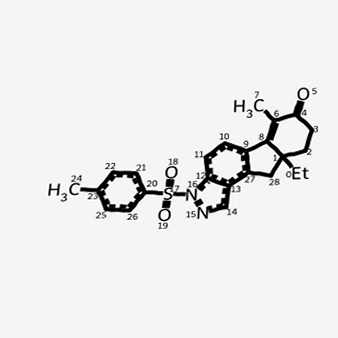 CCC12CCC(=O)C(C)=C1c1ccc3c(cnn3S(=O)(=O)c3ccc(C)cc3)c1C2